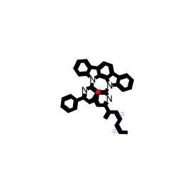 C=C(/C=C\C=C/C)c1cccc(-n2c3ccccc3c3ccc4c5ccccc5n(-c5cccc(-c6ccccc6)n5)c4c32)n1